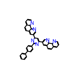 c1ccc(-c2ccc(-c3nc(-c4cnc5c(ccc6cccnc65)c4)cc(-c4cnc5c(ccc6cccnc65)c4)n3)cc2)cc1